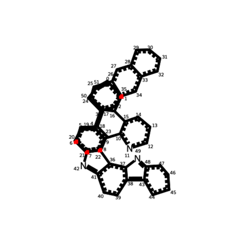 c1ccc(-c2ccc3c(c2-c2ncccc2-c2c(-c4ccccc4)ccc4cc5ccccc5cc24)-c2c4c(ccc2=N3)=c2ccccc2=N4)cc1